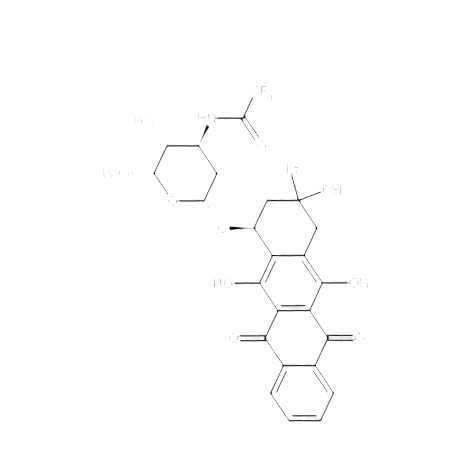 CCC1(O)Cc2c(O)c3c(c(O)c2[C@@H](O[C@H]2C[C@H](NC(=O)C(F)(F)F)[C@@H](O)[C@@H](C)O2)C1)C(=O)c1ccccc1C3=O